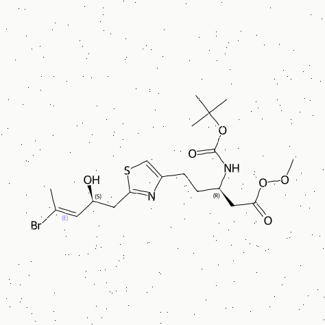 COOC(=O)C[C@@H](CCc1csc(C[C@H](O)/C=C(\C)Br)n1)NC(=O)OC(C)(C)C